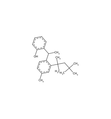 Cc1ccc(C(C)c2ccccc2O)c(C(C)(C)CC(C)(C)C)c1